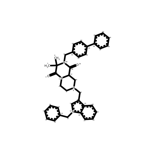 CC1(C)C(=O)N2CCN(Cc3cn(Cc4ccccc4)c4ccccc34)CC2C(=O)N1Cc1ccc(-c2ccccc2)cc1